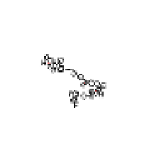 C[C@@H](C(=O)Nc1ccc(Cl)c(OC2CCN(C(=O)CCOCCOCC#Cc3ccc4c(c3)C(=O)N(C3CCC(=O)NC3=O)C4=O)CC2)c1)[C@H]1CC[C@@H](c2ccnc3ccc(F)cc32)CC1